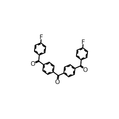 O=C(c1ccc(F)cc1)c1ccc(C(=O)c2ccc(C(=O)c3ccc(F)cc3)cc2)cc1